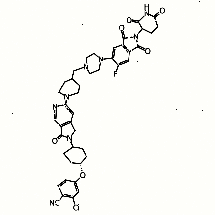 N#Cc1ccc(O[C@H]2CC[C@H](N3Cc4cc(N5CCC(CN6CCN(c7cc8c(cc7F)C(=O)N(C7CCC(=O)NC7=O)C8=O)CC6)CC5)ncc4C3=O)CC2)cc1Cl